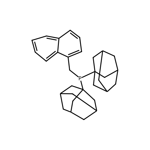 c1ccc2c(CP(C34CC5CC(CC(C5)C3)C4)C34CC5CC(CC(C5)C3)C4)cccc2c1